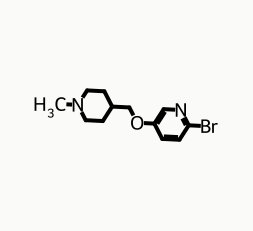 CN1CCC(COc2ccc(Br)nc2)CC1